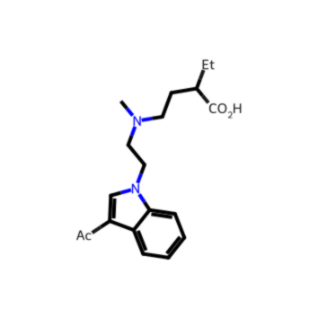 CCC(CCN(C)CCn1cc(C(C)=O)c2ccccc21)C(=O)O